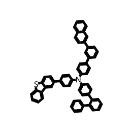 c1ccc(-c2ccccc2-c2ccc(N(c3ccc(-c4cccc(-c5ccc6ccccc6c5)c4)cc3)c3ccc(-c4ccc5sc6ccccc6c5c4)cc3)cc2)cc1